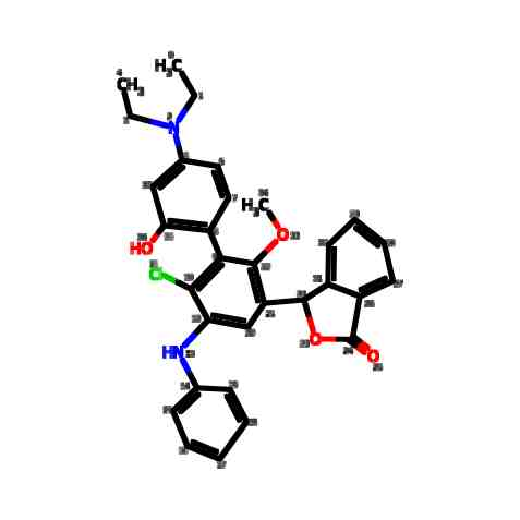 CCN(CC)c1ccc(-c2c(Cl)c(Nc3ccccc3)cc(C3OC(=O)c4ccccc43)c2OC)c(O)c1